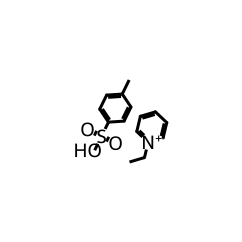 CC[n+]1ccccc1.Cc1ccc(S(=O)(=O)O)cc1